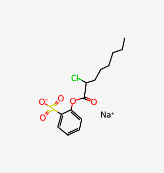 CCCCCCC(Cl)C(=O)Oc1ccccc1S(=O)(=O)[O-].[Na+]